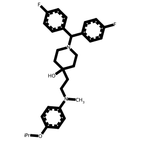 CC(C)Oc1ccc(N(C)CCC2(O)CCN(C(c3ccc(F)cc3)c3ccc(F)cc3)CC2)cc1